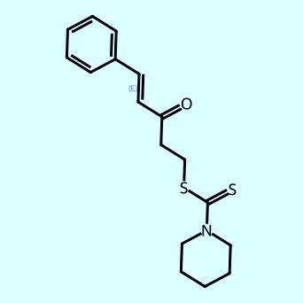 O=C(/C=C/c1ccccc1)CCSC(=S)N1CCCCC1